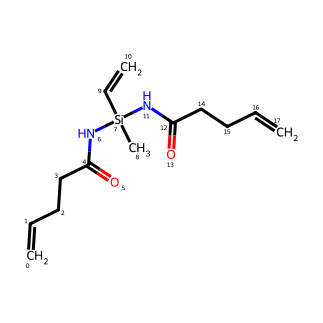 C=CCCC(=O)N[Si](C)(C=C)NC(=O)CCC=C